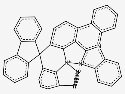 c1ccc2c(c1)-c1ccccc1C21c2cccc3c2[N+]2(c4c1ccc1c5ccccc5n5c6ccccc6[n+]2c5c41)[n+]1ccccc1-3